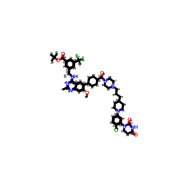 COc1cc2nc(C)nc(N[C@H](C)c3cc(C(=O)OC(C)(C)C)cc(C(F)(F)F)c3)c2cc1C1CCC(C(=O)N2CCN(CCCC3CCN(c4ccc(Cl)c(N5CCC(=O)NC5=O)c4)CC3)CC2)CC1